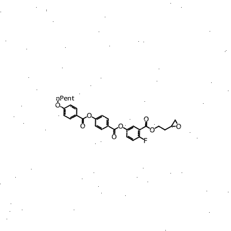 CCCCCOc1ccc(C(=O)Oc2ccc(C(=O)Oc3ccc(F)c(C(=O)OCCC4CO4)c3)cc2)cc1